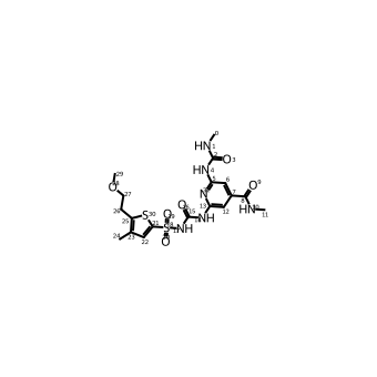 CNC(=O)Nc1cc(C(=O)NC)cc(NC(=O)NS(=O)(=O)c2cc(C)c(CCOC)s2)n1